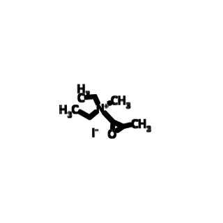 CC[N+](C)(CC)C1OC1C.[I-]